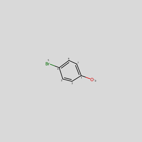 [O]c1ccc(Br)cc1